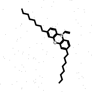 C=CN1c2ccc(CCCCCCCC)cc2Oc2cc(CCCCCCCC)ccc21